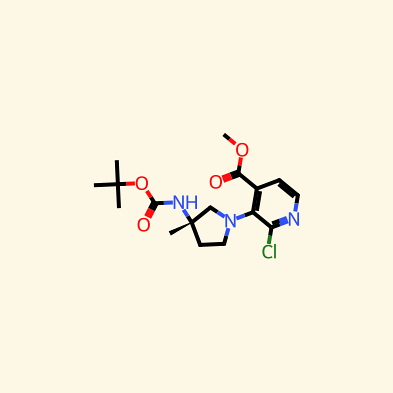 COC(=O)c1ccnc(Cl)c1N1CC[C@](C)(NC(=O)OC(C)(C)C)C1